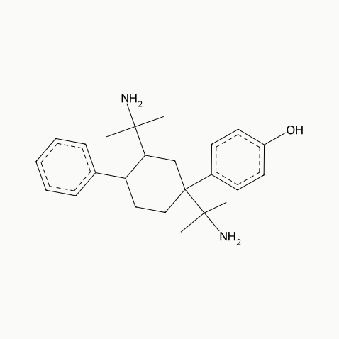 CC(C)(N)C1CC(c2ccc(O)cc2)(C(C)(C)N)CCC1c1ccccc1